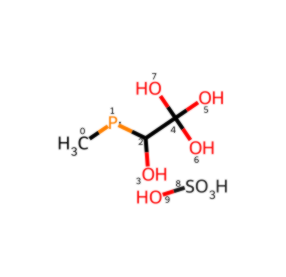 C[P]C(O)C(O)(O)O.O=S(=O)(O)O